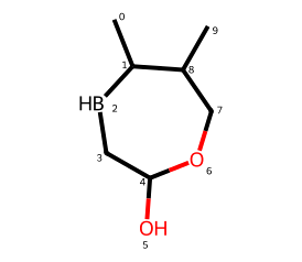 CC1BCC(O)OCC1C